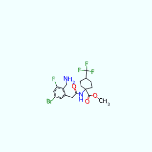 COC(=O)C1(NC(=O)Cc2cc(Br)cc(F)c2CN)CCC(C(F)(F)F)CC1